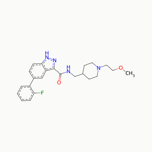 COCCN1CCC(CNC(=O)c2n[nH]c3ccc(-c4ccccc4F)cc23)CC1